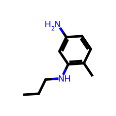 CCCNc1cc(N)ccc1C